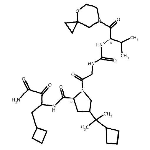 CC(C)[C@H](NC(=O)NCC(=O)N1CC(C(C)(C)C2CCC2)C[C@H]1C(=O)NC(CC1CCC1)C(=O)C(N)=O)C(=O)N1CCOC2(CC2)C1